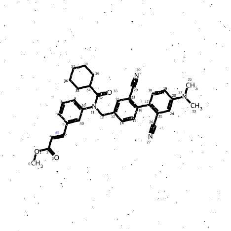 COC(=O)/C=C/c1cccc(N(Cc2ccc(-c3ccc(N(C)C)cc3C#N)c(C#N)c2)C(=O)C2CCCCC2)c1